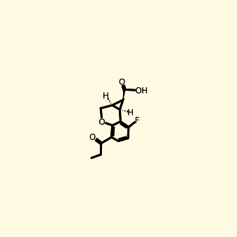 CCC(=O)c1ccc(F)c2c1OC[C@H]1[C@@H](C(=O)O)[C@@H]21